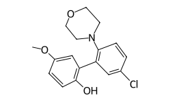 COc1ccc(O)c(-c2cc(Cl)ccc2N2CCOCC2)c1